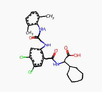 Cc1cccc(C)c1NC(=O)Nc1cc(Cl)c(Cl)cc1C(=O)NC(C(=O)O)C1CCCCC1